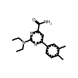 CCN(CC)c1nc(C(N)=O)cc(-c2ccc(C)c(C)c2)n1